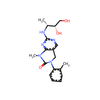 Cc1ccccc1N1Cc2cnc(N[C@H](C)[C@@H](O)CO)nc2N(C)C1=O